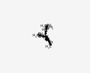 CCOC(=O)COc1ccc2c(c1)nc(SCCCNC(=O)OC(C)(C)C)n2COCC[Si](C)(C)C